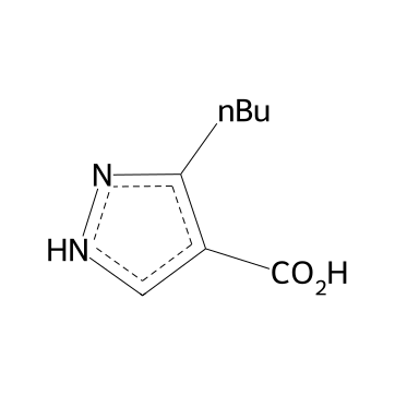 CCCCc1n[nH]cc1C(=O)O